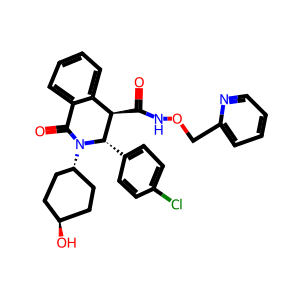 O=C(NOCc1ccccn1)[C@@H]1c2ccccc2C(=O)N([C@H]2CC[C@H](O)CC2)[C@H]1c1ccc(Cl)cc1